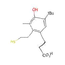 Cc1c(O)c(C(C)(C)C)cc(CCC(=O)O)c1CCS